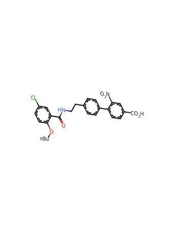 CCCCOc1ccc(Cl)cc1C(=O)NCCc1ccc(-c2ccc(C(=O)O)cc2[N+](=O)[O-])cc1